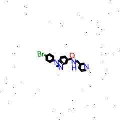 O=C(NCc1cccnc1)c1ccc2c(c1)ncn2-c1ccc(Br)cc1